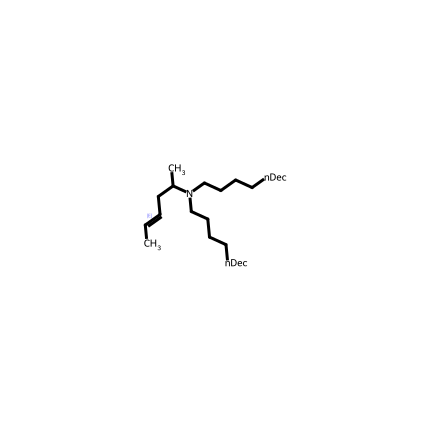 C/C=C/CC(C)N(CCCCCCCCCCCCCC)CCCCCCCCCCCCCC